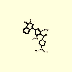 COc1cc(-c2cn(C)c(=O)c3ccccc23)cc(OC)c1C(=O)N1CCC(N(C)C)CC1